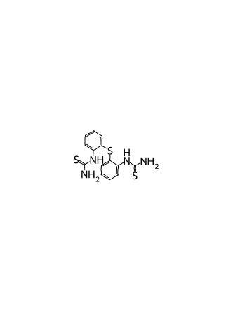 NC(=S)Nc1ccccc1Sc1ccccc1NC(N)=S